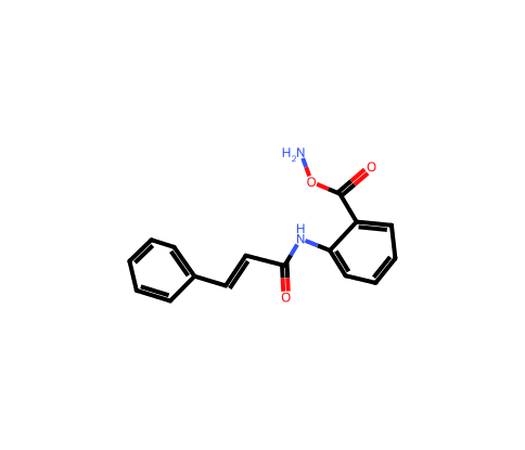 NOC(=O)c1ccccc1NC(=O)/C=C/c1ccccc1